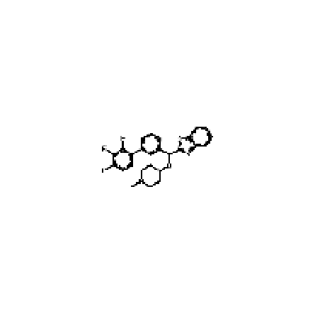 CN1CCC(OC(c2cccc(-c3ccc(F)c(F)c3F)c2)c2nc3ccccc3s2)CC1